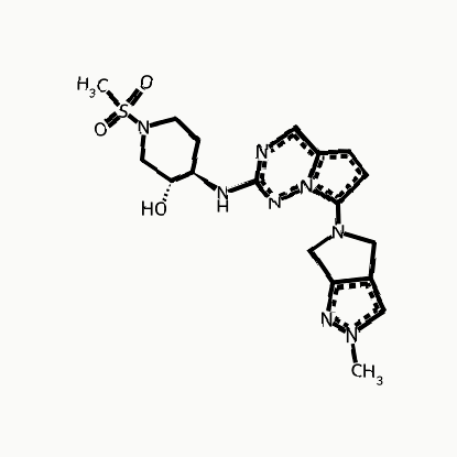 Cn1cc2c(n1)CN(c1ccc3cnc(N[C@@H]4CCN(S(C)(=O)=O)C[C@H]4O)nn13)C2